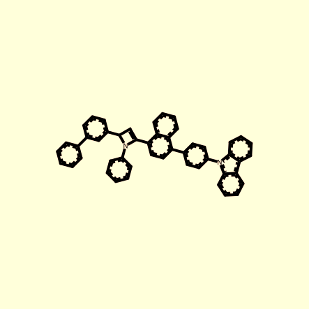 C1=C(c2ccc(-c3ccc(-n4c5ccccc5c5ccccc54)cc3)c3ccccc23)N(c2ccccc2)C1c1cccc(-c2ccccc2)c1